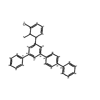 CC1C(Cl)=CC=CC1c1nc(-c2ccccc2)nc(-c2ccc(-c3ccccc3)cc2)n1